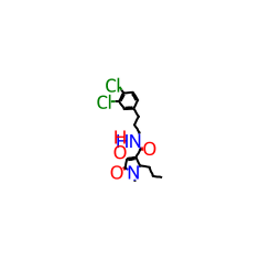 CCCC1C(C(=O)NCCCc2ccc(Cl)c(Cl)c2)=C(O)C(=O)N1C